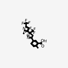 Cc1ccc(C2=NOC(c3cc(C(F)(F)F)nn3C)(C(F)(F)F)C2)cc1C(=O)O